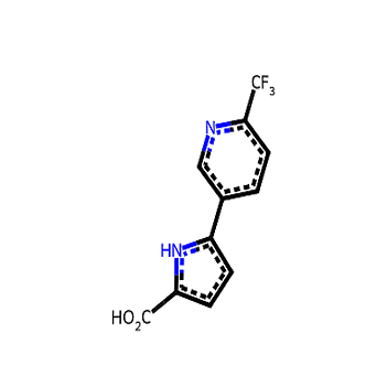 O=C(O)c1ccc(-c2ccc(C(F)(F)F)nc2)[nH]1